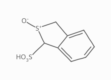 O=S(=O)(O)C1c2ccccc2C[S+]1[O-]